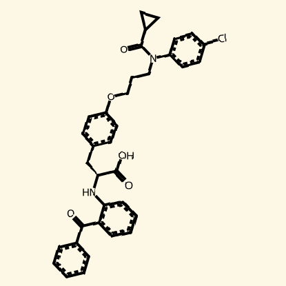 O=C(c1ccccc1)c1ccccc1N[C@@H](Cc1ccc(OCCCN(C(=O)C2CC2)c2ccc(Cl)cc2)cc1)C(=O)O